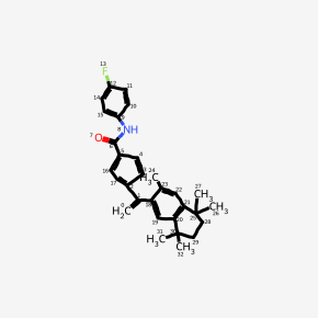 C=C(c1ccc(C(=O)Nc2ccc(F)cc2)cc1)c1cc2c(cc1C)C(C)(C)CCC2(C)C